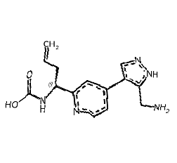 C=CC[C@H](NC(=O)O)c1cc(-c2cn[nH]c2CN)ccn1